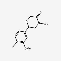 CCCN1CC(c2ccc(F)c(OC)c2)OCC1=O